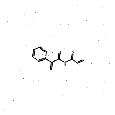 C=CC(=O)NC(=O)C(=C)c1ccccc1